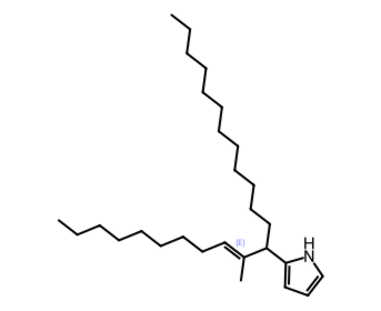 CCCCCCCC/C=C(\C)C(CCCCCCCCCCCC)c1ccc[nH]1